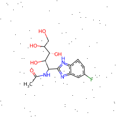 CC(=O)NC(c1nc2cc(F)ccc2[nH]1)C(O)[C@@H](O)C(O)CO